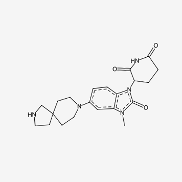 Cn1c(=O)n(C2CCC(=O)NC2=O)c2ccc(N3CCC4(CCNC4)CC3)cc21